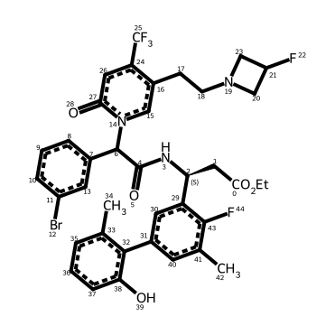 CCOC(=O)C[C@H](NC(=O)C(c1cccc(Br)c1)n1cc(CCN2CC(F)C2)c(C(F)(F)F)cc1=O)c1cc(-c2c(C)cccc2O)cc(C)c1F